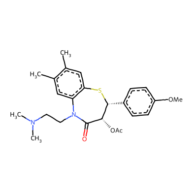 COc1ccc([C@H]2Sc3cc(C)c(C)cc3N(CCN(C)C)C(=O)[C@H]2OC(C)=O)cc1